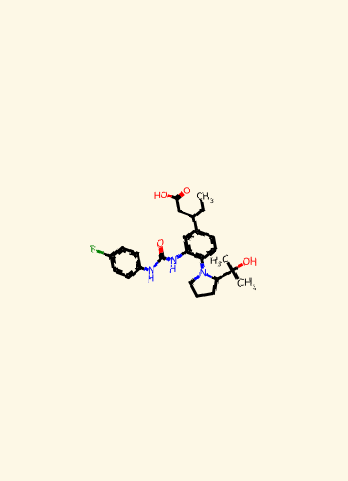 CCC(CC(=O)O)c1ccc(N2CCCC2C(C)(C)O)c(NC(=O)Nc2ccc(F)cc2)c1